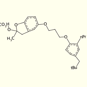 CCCc1cc(CC(C)(C)C)ccc1OCCCOc1ccc2c(c1)CC(C)(OC(=O)O)O2